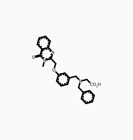 Cn1c(COc2cccc(CN(CC(=O)O)Cc3ccccc3)c2)nc2ccccc2c1=O